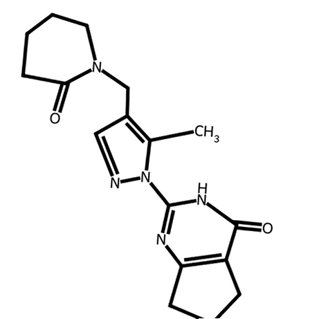 Cc1c(CN2CCCCC2=O)cnn1-c1nc2c(c(=O)[nH]1)CCC2